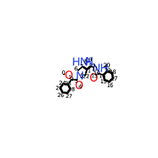 COC(C(=O)N1Cc2[nH]nc(NC(=O)c3ccccc3C)c2C1)c1ccccc1